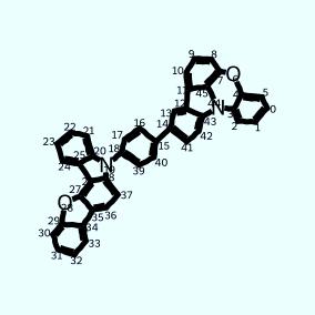 c1ccc2c(c1)Oc1cccc3c4cc(-c5ccc(-n6c7ccccc7c7c8oc9ccccc9c8ccc76)cc5)ccc4n-2c13